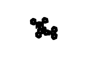 c1ccc(-c2cc(-c3ccccc3)nc(-c3cc4ccccc4c4c3oc3cc(-n5c6ccccc6c6ccccc65)ccc34)n2)cc1